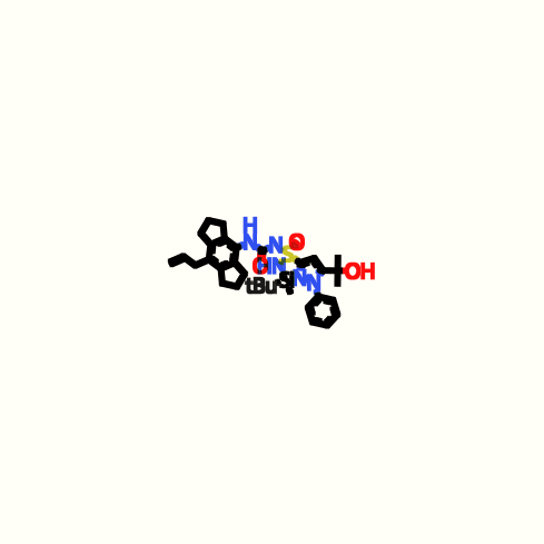 C=CCc1c2c(c(NC(=O)N=S(=O)(N[Si](C)(C)C(C)(C)C)c3cc(C(C)(C)O)n(-c4ccccc4)n3)c3c1CCC3)CCC2